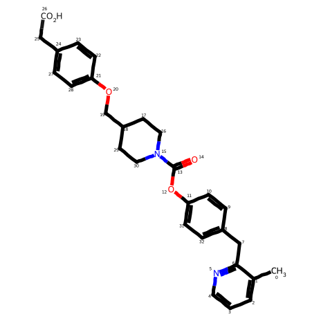 Cc1cccnc1Cc1ccc(OC(=O)N2CCC(COc3ccc(CC(=O)O)cc3)CC2)cc1